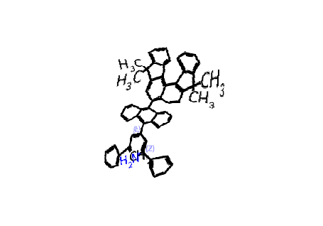 C=C(/C=C(\C=C(/N)c1ccccc1)c1c2ccccc2c(-c2cc3c(c4c5c(ccc24)C(C)(C)c2ccccc2-5)-c2ccccc2C3(C)C)c2ccccc12)c1ccccc1